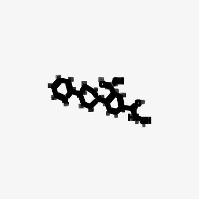 O=C(NO)c1ccc(N2CCN(c3ccccn3)CC2)c([N+](=O)O)c1